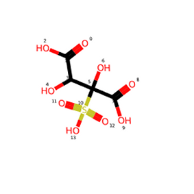 O=C(O)C(O)C(O)(C(=O)O)S(=O)(=O)O